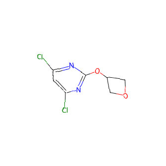 Clc1cc(Cl)nc(OC2COC2)n1